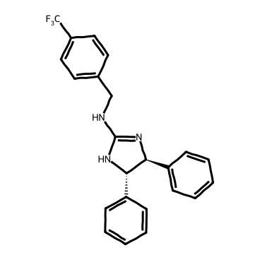 FC(F)(F)c1ccc(CNC2=N[C@@H](c3ccccc3)[C@H](c3ccccc3)N2)cc1